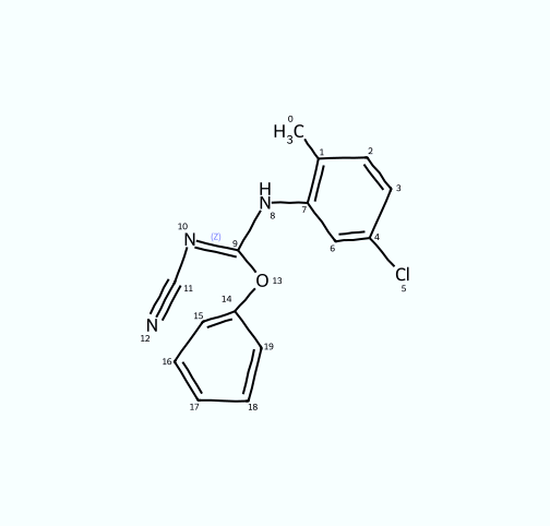 Cc1ccc(Cl)cc1N/C(=N/C#N)Oc1ccccc1